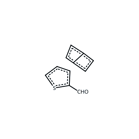 O=Cc1cccs1.c1cc2ccc1-2